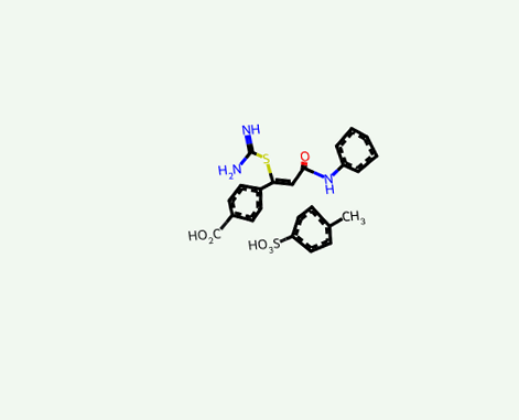 Cc1ccc(S(=O)(=O)O)cc1.N=C(N)SC(=CC(=O)Nc1ccccc1)c1ccc(C(=O)O)cc1